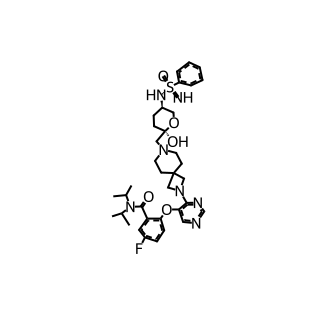 CC(C)N(C(=O)c1cc(F)ccc1Oc1cncnc1N1CC2(CCN(C[C@@]3(O)CC[C@@H](N[S@](=N)(=O)c4ccccc4)CO3)CC2)C1)C(C)C